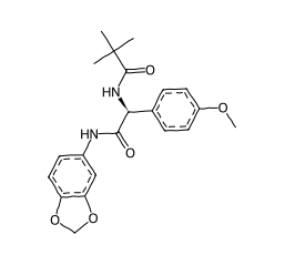 COc1ccc([C@H](NC(=O)C(C)(C)C)C(=O)Nc2ccc3c(c2)OCO3)cc1